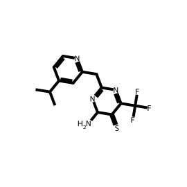 CC(C)c1ccnc(CC2=NC(N)C(=S)C(C(F)(F)F)=N2)c1